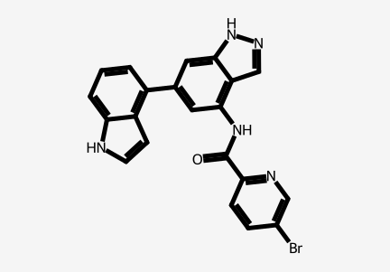 O=C(Nc1cc(-c2cccc3[nH]ccc23)cc2[nH]ncc12)c1ccc(Br)cn1